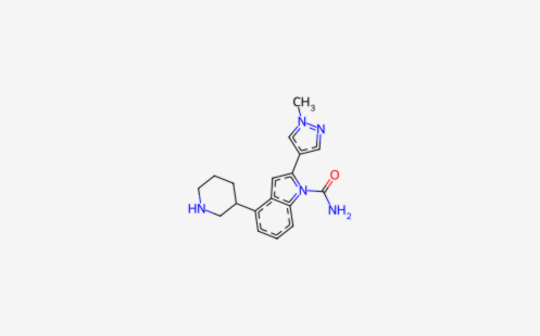 Cn1cc(-c2cc3c(C4CCCNC4)cccc3n2C(N)=O)cn1